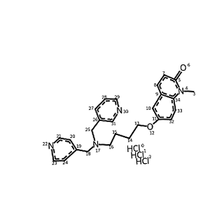 Cl.Cl.Cl.Cn1c(=O)ccc2cc(OCCCCN(Cc3ccncc3)Cc3cccnc3)ccc21